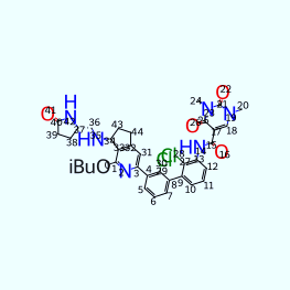 CC(C)COc1nc(-c2cccc(-c3cccc(NC(=O)c4cn(C)c(=O)n(C)c4=O)c3Cl)c2Cl)cc2c1[C@@H](NC[C@@H]1CCC(=O)N1)CC2